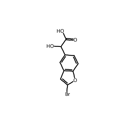 O=C(O)C(O)c1ccc2oc(Br)cc2c1